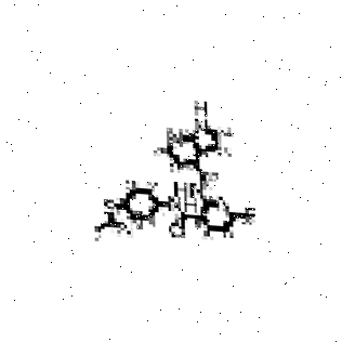 Cc1nc2cc(NC(=O)c3ccc(F)nc3NCc3ccnc4[nH]ccc34)ccc2s1